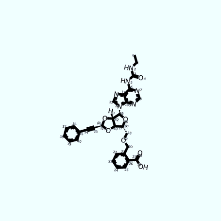 CCNC(=O)Nc1ncnc2c1ncn2[C@@H]1O[C@H](COCc2ccccc2C(=O)O)C2O[C@@H](C#Cc3ccccc3)O[C@@H]21